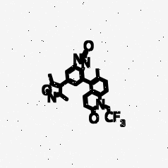 Cc1ccc2c(ccc(=O)n2CC(F)(F)F)c1-c1cc(-c2c(C)noc2C)cc2c1n1c(=O)n21